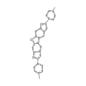 Cc1ccc(-c2cc3cc4c(cc3o2)oc2cc3oc(-c5ccc(C)cc5)cc3cc24)cc1